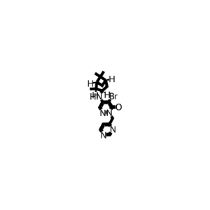 C[C@@H]1[C@H]2C[C@@H](C[C@H]1Nc1cnn(Cc3ccncn3)c(=O)c1Br)C2(C)C